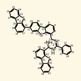 NC(N/C(=N\Cc1cccc2c1sc1cc(-c3cccc4c3sc3ccccc34)ccc12)c1ccccc1)c1cccc2c1sc1ccccc12